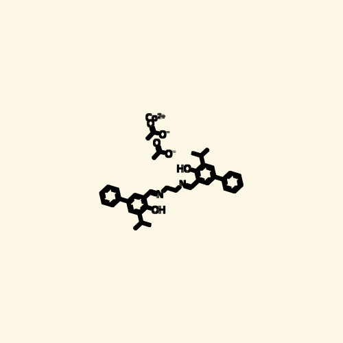 CC(=O)[O-].CC(=O)[O-].CC(C)c1cc(-c2ccccc2)cc(C=NCCN=Cc2cc(-c3ccccc3)cc(C(C)C)c2O)c1O.[Co+2]